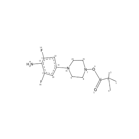 CC(C)(C)C(=O)ON1CCN(c2cc(F)c(N)c(F)c2)CC1